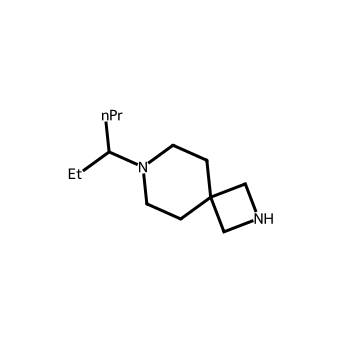 CCCC(CC)N1CCC2(CC1)CNC2